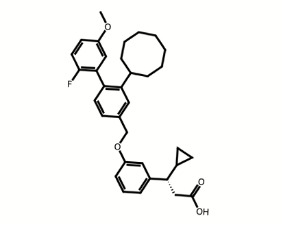 COc1ccc(F)c(-c2ccc(COc3cccc([C@@H](CC(=O)O)C4CC4)c3)cc2C2CCCCCCC2)c1